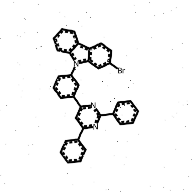 Brc1ccc2c3ccccc3n(-c3cccc(-c4cc(-c5ccccc5)nc(-c5ccccc5)n4)c3)c2c1